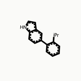 CC(C)c1ccccc1-c1ccc2[nH]ccc2c1